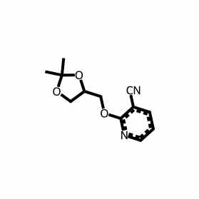 CC1(C)OCC(COc2ncccc2C#N)O1